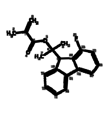 C=C(C)C(=O)OC(C)(C)C1c2ccccc2-c2cccc(F)c21